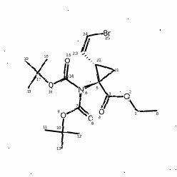 CCOC(=O)[C@@]1(N(C(=O)OC(C)(C)C)C(=O)OC(C)(C)C)C[C@H]1/C=C\Br